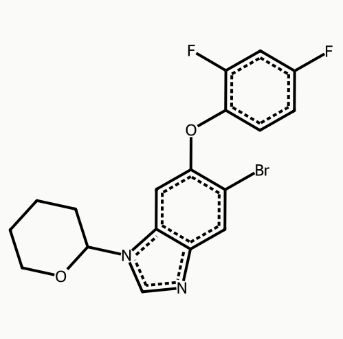 Fc1ccc(Oc2cc3c(cc2Br)ncn3C2CCCCO2)c(F)c1